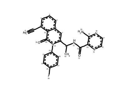 C#Cc1cccc2cc(C(C)NC(=O)c3nccnc3N)n(-c3ccc(F)cc3)c(=O)c12